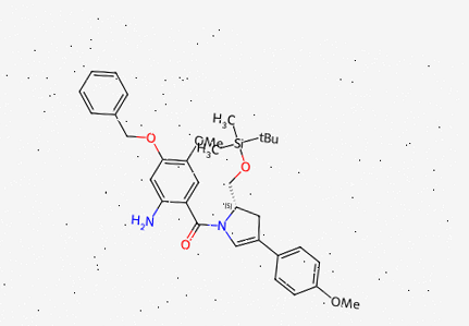 COc1ccc(C2=CN(C(=O)c3cc(OC)c(OCc4ccccc4)cc3N)[C@H](CO[Si](C)(C)C(C)(C)C)C2)cc1